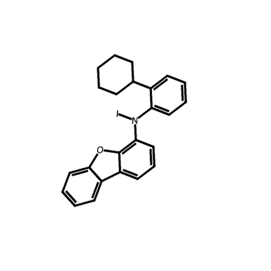 IN(c1ccccc1C1CCCCC1)c1cccc2c1oc1ccccc12